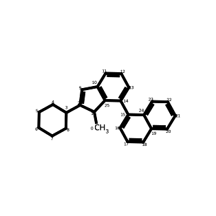 CC1C(C2CCCCC2)=Cc2cccc(-c3cccc4ccccc34)c21